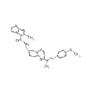 Cc1nc2sccn2c1C(=O)NCc1ccc2nc(N(C)CCc3ccc(OC(F)(F)F)cc3)ccc2c1